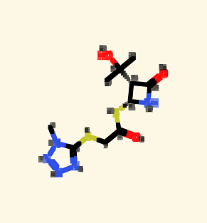 Cn1nnnc1SCC(=O)S[C@H]1NC(=O)[C@H]1C(C)(C)O